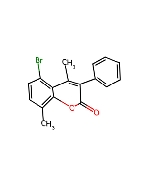 Cc1ccc(Br)c2c(C)c(-c3ccccc3)c(=O)oc12